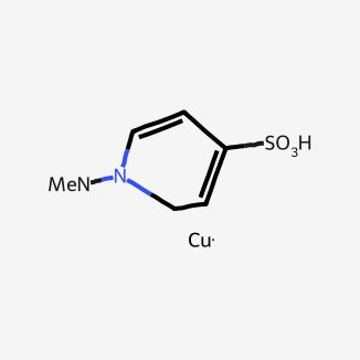 CNN1C=CC(S(=O)(=O)O)=CC1.[Cu]